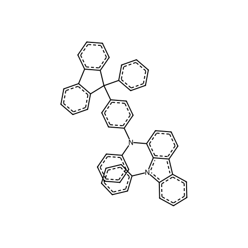 c1ccc(N(c2ccc(C3(c4ccccc4)c4ccccc4-c4ccccc43)cc2)c2cccc3c4ccccc4n(-c4ccccc4)c23)cc1